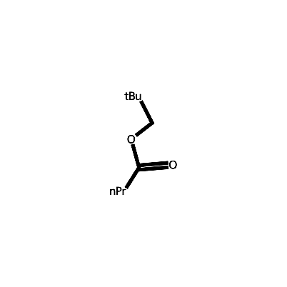 [CH2]C([CH2])(C)COC(=O)CCC